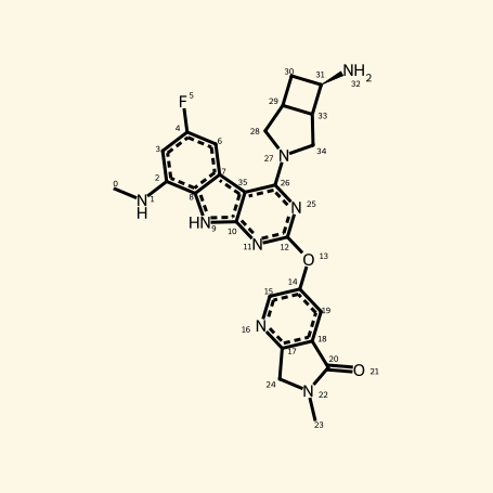 CNc1cc(F)cc2c1[nH]c1nc(Oc3cnc4c(c3)C(=O)N(C)C4)nc(N3CC4C[C@@H](N)C4C3)c12